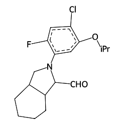 CC(C)Oc1cc(N2CC3CCCCC3C2C=O)c(F)cc1Cl